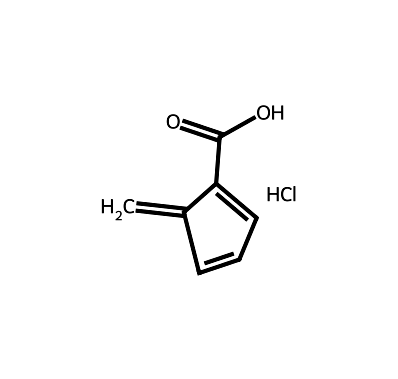 C=C1C=CC=C1C(=O)O.Cl